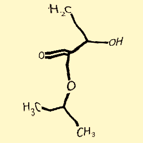 [CH2]C(O)C(=O)OC(C)C